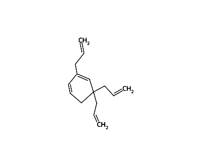 C=CCC1=CC(CC=C)(CC=C)CC=C1